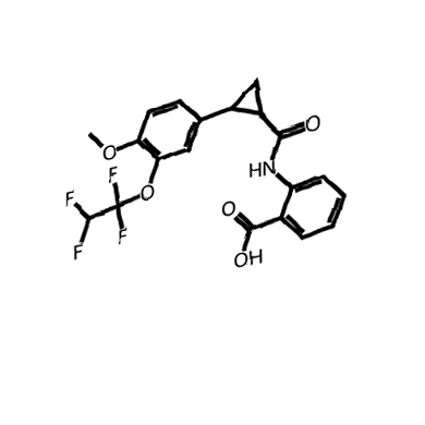 COc1ccc(C2CC2C(=O)Nc2ccccc2C(=O)O)cc1OC(F)(F)C(F)F